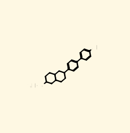 CCCCCCC1CCC2CC(c3ccc(-c4ccc(C(F)(F)F)cc4)cc3)CCC2C1